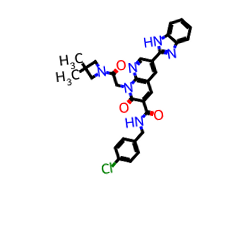 CC1(C)CN(C(=O)Cn2c(=O)c(C(=O)NCc3ccc(Cl)cc3)cc3cc(-c4nc5ccccc5[nH]4)cnc32)C1